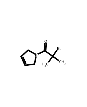 CCC(C)(C)C(=O)N1CC=CC1